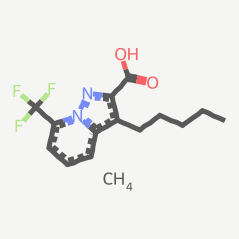 C.CCCCCc1c(C(=O)O)nn2c(C(F)(F)F)cccc12